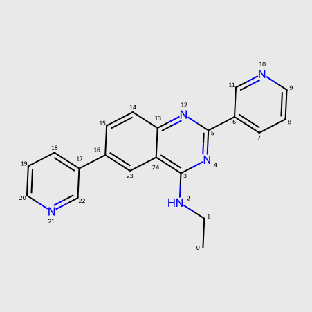 CCNc1nc(-c2cccnc2)nc2ccc(-c3cccnc3)cc12